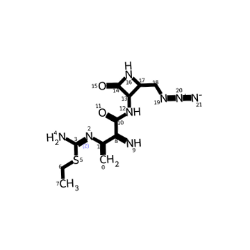 C=C(/N=C(/N)SCC)C(=N)C(=O)NC1C(=O)NC1CN=[N+]=[N-]